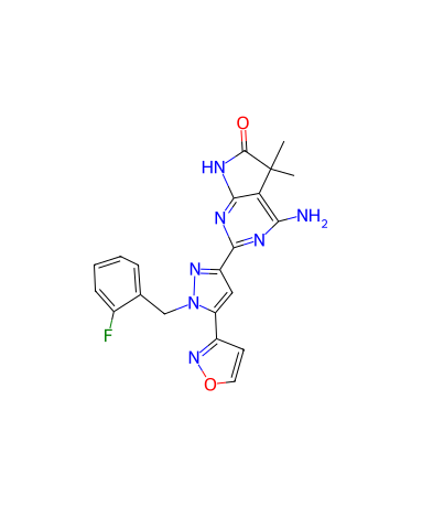 CC1(C)C(=O)Nc2nc(-c3cc(-c4ccon4)n(Cc4ccccc4F)n3)nc(N)c21